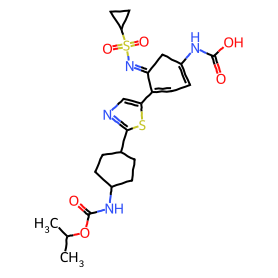 CC(C)OC(=O)NC1CCC(c2ncc(C3=CC=C(NC(=O)O)CC3=NS(=O)(=O)C3CC3)s2)CC1